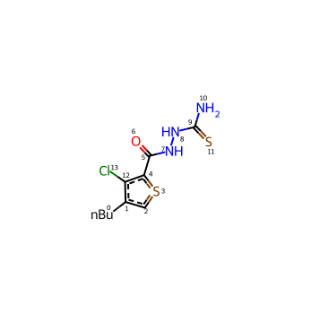 CCCCc1csc(C(=O)NNC(N)=S)c1Cl